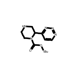 CC(C)(C)OC(=O)N1CCNCC1c1ccnnn1